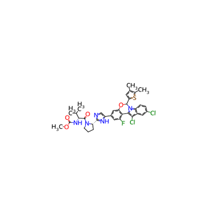 COC(=O)N[C@@H](C(=O)N1CCC[C@H]1c1ncc(-c2cc(F)c3c(c2)OC(c2cc(C)c(C)s2)n2c-3c(Cl)c3cc(Cl)ccc32)[nH]1)C(C)C